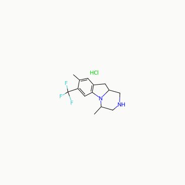 Cc1cc2c(cc1C(F)(F)F)N1C(C)CNCC1C2.Cl